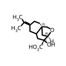 CC(C)=C1CC[C@]23CO[C@H](C2)[C@@](O)(C(=O)O)CC3C1